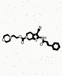 N#Cc1c(NC(=O)/C=C/c2ccccc2)sc2c1CCN(C(=O)OCCN1CCOCC1)C2